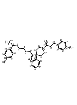 CC(CCCCCC(=O)C1(c2ccccc2)CCN(C(=O)CCc2ccc(F)cc2)CC1)c1ccc(F)cc1